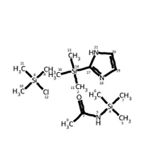 CC(=O)N[Si](C)(C)C.C[Si](C)(C)Cl.C[Si](C)(C)c1ncc[nH]1